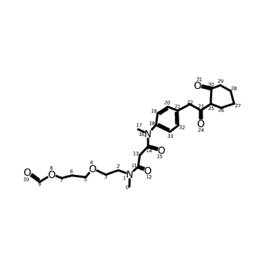 CN(CCOCCCOC=O)C(=O)CC(=O)N(C)c1ccc(CC(=O)C2CCCCC2=O)cc1